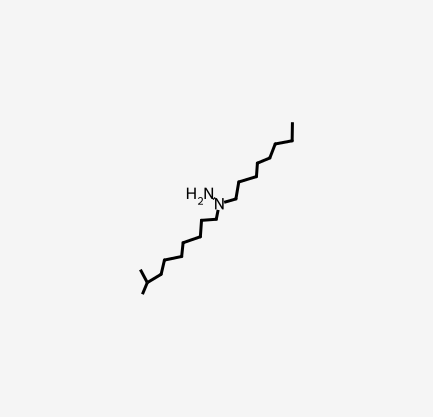 CCCCCCCCN(N)CCCCCCCC(C)C